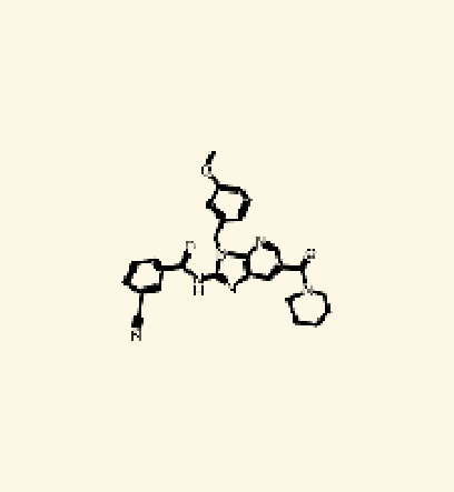 COc1cccc(Cn2c(NC(=O)c3cccc(C#N)c3)nc3cc(C(=O)N4CCCCC4)cnc32)c1